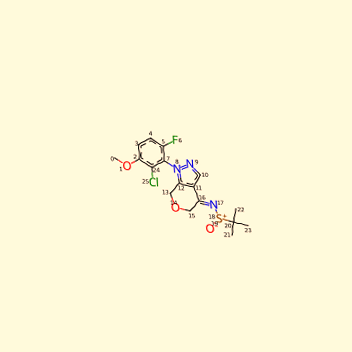 COc1ccc(F)c(-n2ncc3c2COC/C3=N\[S@@+]([O-])C(C)(C)C)c1Cl